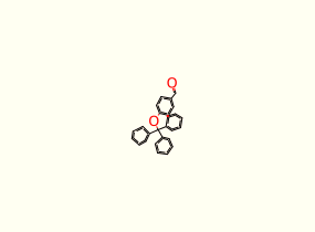 O=Cc1ccc(OC(c2ccccc2)(c2ccccc2)c2ccccc2)cc1